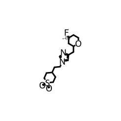 C[C@]1(F)CCOC(Cc2cn(CCC3CCS(=O)(=O)CC3)cn2)C1